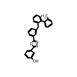 Cc1ccccc1-c1ccccc1Cc1cccc(-c2nnc(-c3cccc(O)c3)o2)c1